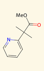 COC(=O)C(C)(C)c1ccccn1